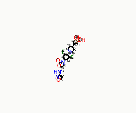 O=C1O[C@@H](CNc2ccon2)CN1c1cc(F)c(N2CCC(C3CS(O)(O)C3)CC2)c(F)c1